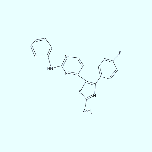 Fc1ccc(-c2nc([AsH2])sc2-c2ccnc(Nc3ccccc3)n2)cc1